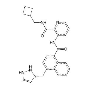 O=C(NCC1CCC1)c1ncccc1NC(=O)c1ccc(CN2C=CNN2)c2ccccc12